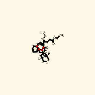 CCOC(=O)CCC(=NOC)c1nc2ccccc2n(C2C[C@H]3COC[C@H](C2)N3C2CC3CCCCC(C3)C2)c1=O